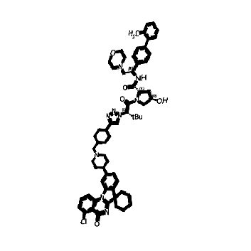 Cc1ccccc1-c1ccc([C@H](CN2CCOCC2)NC(=O)[C@@H]2C[C@@H](O)CN2C(=O)[C@@H](n2cc(C3CCC(CN4CCC(c5ccc6c(c5)-n5c(nc(=O)c7c(Cl)cccc75)C65CCCCC5)CC4)CC3)nn2)C(C)(C)C)cc1